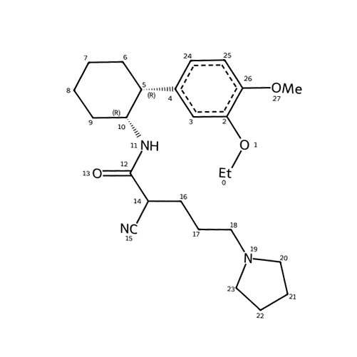 CCOc1cc([C@H]2CCCC[C@H]2NC(=O)C(C#N)CCCN2CCCC2)ccc1OC